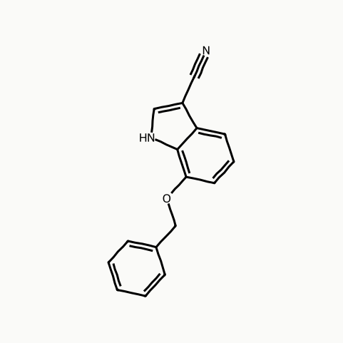 N#Cc1c[nH]c2c(OCc3ccccc3)cccc12